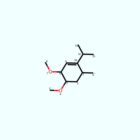 [CH2]C1CC(OC)C(OC)C=C1C(C)C